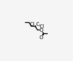 CCCCCOC(C)=O.ClC(Cl)(Cl)Cl